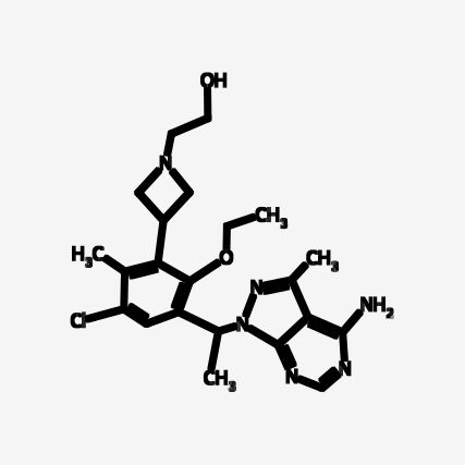 CCOc1c(C(C)n2nc(C)c3c(N)ncnc32)cc(Cl)c(C)c1C1CN(CCO)C1